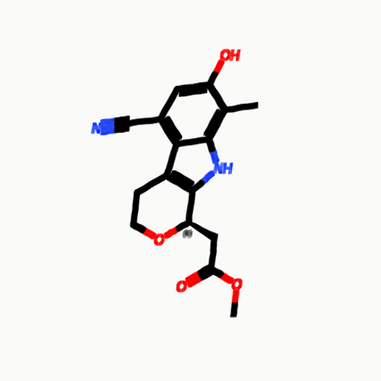 COC(=O)C[C@H]1OCCc2c1[nH]c1c(C)c(O)cc(C#N)c21